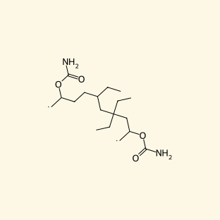 [CH2]C(CCC(CC)CC(CC)(CC)CC([CH2])OC(N)=O)OC(N)=O